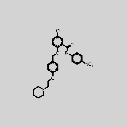 O=C(Nc1ccc([N+](=O)[O-])cc1)c1cc(Cl)ccc1OCc1ccc(OCCN2CCCCC2)cc1